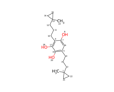 CC1(CCCc2cc(O)c(CCCC3(C)CC3)c(O)c2O)CC1